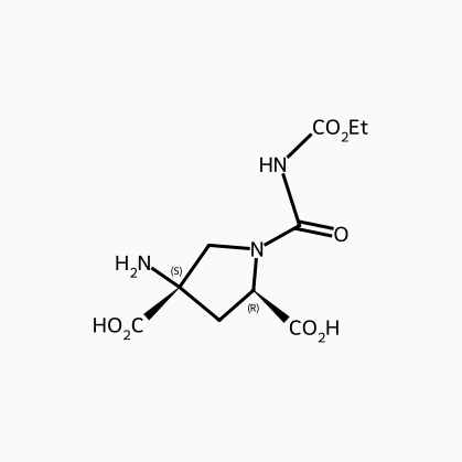 CCOC(=O)NC(=O)N1C[C@](N)(C(=O)O)C[C@@H]1C(=O)O